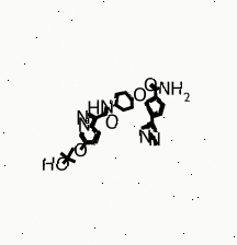 Cn1cc(-c2ccc(C(N)=O)c(O[C@H]3CC[C@H](NC(=O)c4cnn5cc(OCC(C)(C)O)ccc45)CC3)c2)cn1